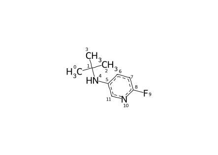 CC(C)(C)Nc1ccc(F)nc1